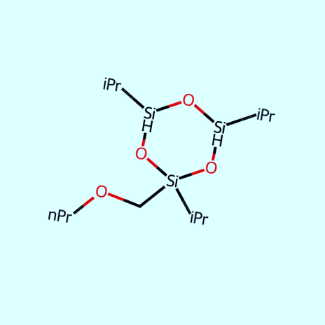 CCCOC[Si]1(C(C)C)O[SiH](C(C)C)O[SiH](C(C)C)O1